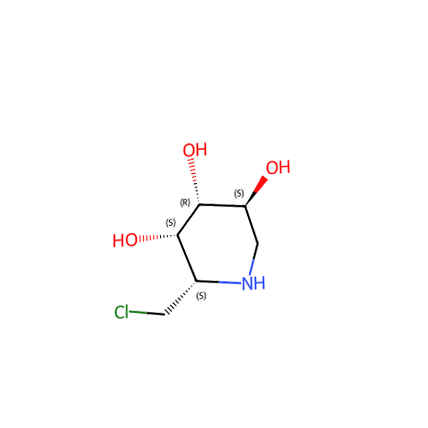 O[C@@H]1[C@H](O)[C@@H](O)CN[C@@H]1CCl